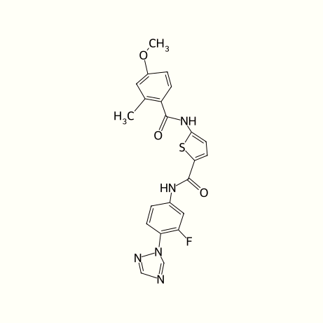 COc1ccc(C(=O)Nc2ccc(C(=O)Nc3ccc(-n4cncn4)c(F)c3)s2)c(C)c1